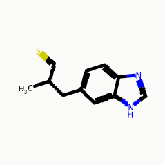 CC(C=S)Cc1ccc2nc[nH]c2c1